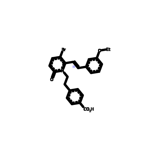 CCOc1cccc(/C=C/c2c(Br)ccc(=O)n2CCc2ccc(C(=O)O)cc2)c1